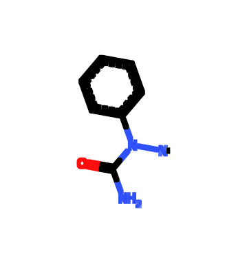 [N]N(C(N)=O)c1ccccc1